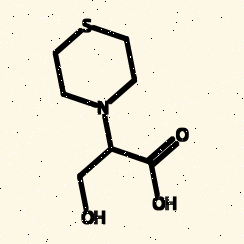 O=C(O)C(CO)N1CCSCC1